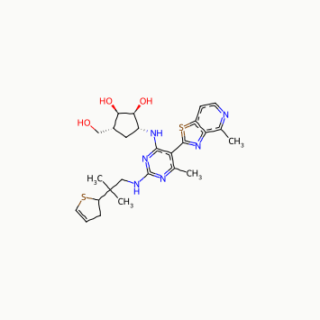 Cc1nc(NCC(C)(C)C2CC=CS2)nc(N[C@@H]2C[C@H](CO)[C@@H](O)[C@H]2O)c1-c1nc2c(C)nccc2s1